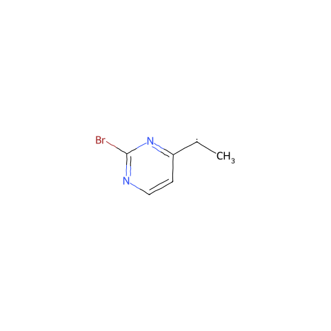 C[CH]c1ccnc(Br)n1